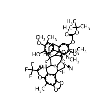 COc1cc2c(cc1OC(=O)OC(C)(C)C)CCN[C@]21CS[C@@H]2c3c(OC(=O)C(F)(F)F)c(C)c4c(c3[C@H](COC1=O)N1C2Cc2c(cc(C)c(OC)c2O)C[C@H](N(C)C)[C@@H]1C#N)OCO4